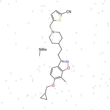 CNC.Cc1c(OCC2CC2)ccc2c(CCC3CCN(Cc4ccc(C#N)s4)CC3)noc12